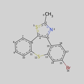 Cc1nc2c(s1)-c1ccccc1Sc1cc(Br)ccc1-2